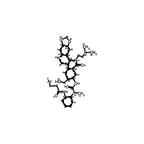 CC(=O)CCC(=O)Nc1ccccc1N(C)C(=O)Oc1cc2c(=O)n(CCN(C)C)c3c4cc5c(cc4ncc3c2cc1CO)OCO5